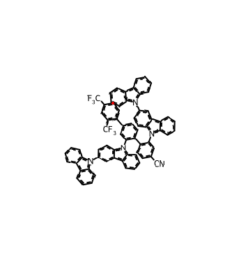 N#Cc1ccc(-c2ccc(-c3ccc(C(F)(F)F)cc3C(F)(F)F)cc2-n2c3ccccc3c3cc(-n4c5ccccc5c5ccccc54)ccc32)c(-n2c3ccccc3c3cc(-n4c5ccccc5c5ccccc54)ccc32)c1